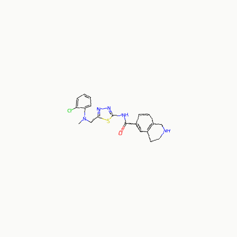 CN(Cc1nnc(NC(=O)c2ccc3c(c2)CCNC3)s1)c1ccccc1Cl